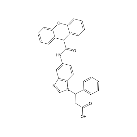 O=C(O)CC(c1ccccc1)n1cnc2cc(NC(=O)C3c4ccccc4Oc4ccccc43)ccc21